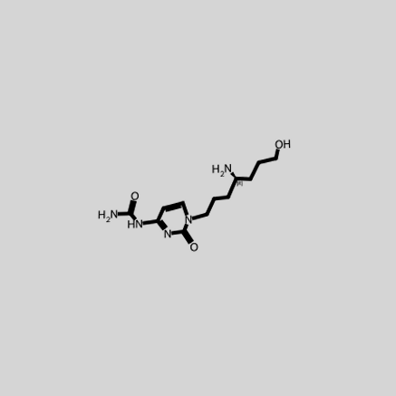 NC(=O)Nc1ccn(CCC[C@@H](N)CCCO)c(=O)n1